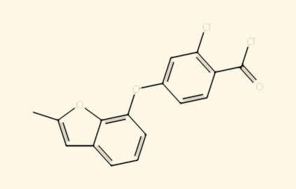 Cc1cc2cccc(Oc3ccc(C(=O)Cl)c(Cl)c3)c2o1